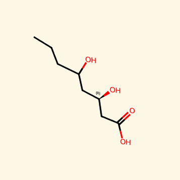 CCCC(O)C[C@@H](O)CC(=O)O